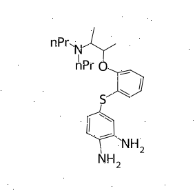 CCCN(CCC)C(C)C(C)Oc1ccccc1Sc1ccc(N)c(N)c1